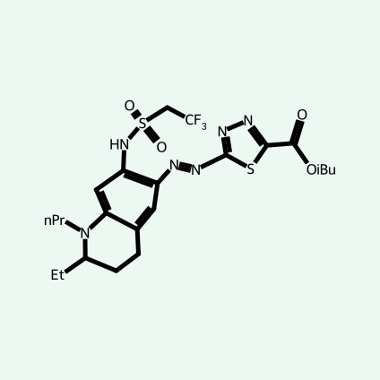 CCCN1c2cc(NS(=O)(=O)CC(F)(F)F)c(N=Nc3nnc(C(=O)OCC(C)C)s3)cc2CCC1CC